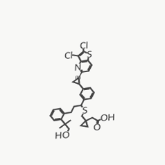 CC(C)(CO)c1ccccc1CCC(SCC1(CC(=O)O)CC1)c1cccc(C2C[C@H]2c2ccc3sc(Cl)c(Cl)c3n2)c1